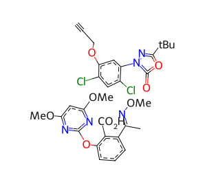 C#CCOc1cc(-n2nc(C(C)(C)C)oc2=O)c(Cl)cc1Cl.CON=C(C)c1cccc(Oc2nc(OC)cc(OC)n2)c1C(=O)O